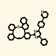 C1=C\c2ccc(-c3nc(-c4ccccc4)cc(-c4ccc(-c5cccnc5)cc4)n3)cc2-c2ccc3ccccc3c2Sc2ccccc2-c2ccccc2/1